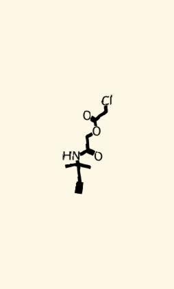 C#CC(C)(C)NC(=O)COC(=O)CCl